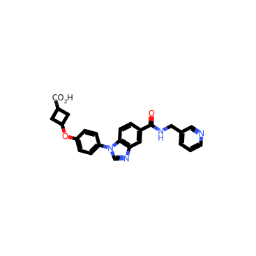 O=C(NCc1cccnc1)c1ccc2c(c1)ncn2-c1ccc(OC2CC(C(=O)O)C2)cc1